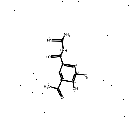 CC(=O)c1cc(C(=O)NC(=N)N)cc(Cl)c1O